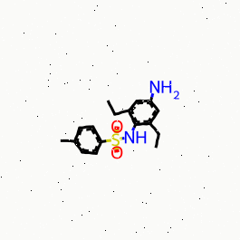 CCc1cc(N)cc(CC)c1NS(=O)(=O)c1ccc(C)cc1